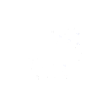 CN(C)c1ccnc(NC2CCC(CNC(=O)c3ccc(-c4ccc(Cl)cc4[N+](=O)[O-])o3)CC2)n1